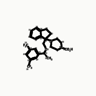 C[C@H](OCC1(N2CCN(C(=O)O)CC2)CCc2ccccc21)c1cc(C(F)(F)F)cc(C(F)(F)F)c1